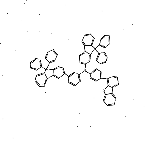 c1ccc(C2(c3ccccc3)c3ccccc3-c3cc(-c4cccc(N(c5ccc(-c6cccc7c6oc6ccccc67)cc5)c5ccc6c(c5)C(c5ccccc5)(c5ccccc5)c5ccccc5-6)c4)ccc32)cc1